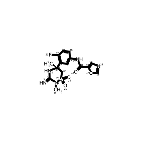 CN1C(=N)N[C@](C)(c2cc(NC(=O)c3cnco3)ccc2F)CS1(=O)=O